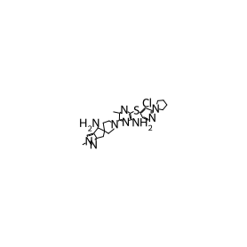 Cc1nc(Sc2ccnc(N3CCCC3)c2Cl)c(N)nc1N1CCC2(CC1)Cc1nn(C)cc1[C@H]2N